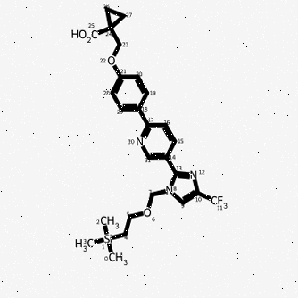 C[Si](C)(C)CCOCn1cc(C(F)(F)F)nc1-c1ccc(-c2ccc(OCC3(C(=O)O)CC3)cc2)nc1